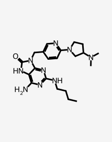 CCCCNc1nc(N)c2[nH]c(=O)n(Cc3ccc(N4CCC(N(C)C)C4)nc3)c2n1